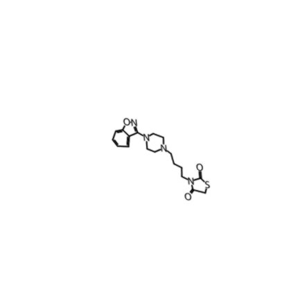 O=C1CSC(=O)N1CCCCN1CCN(c2noc3ccccc23)CC1